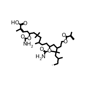 [CH2]CC(C)CC(C)(C)[C](CCOC(=O)C(=C)C)CC(CCC(C)CC(C)(C)CC(CC=C(C)C(=O)O)OC(N)=O)OC(N)=O